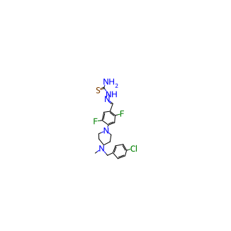 CN(Cc1ccc(Cl)cc1)C1CCN(c2cc(F)c(C=NNC(N)=S)cc2F)CC1